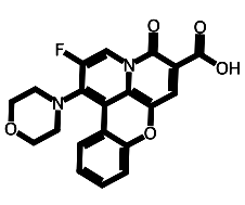 O=C(O)c1cc2c3c(c(N4CCOCC4)c(F)cn3c1=O)-c1ccccc1O2